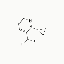 FC(F)c1cccnc1C1CC1